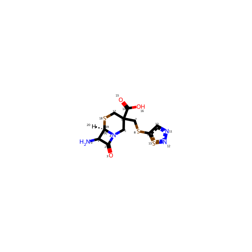 NC1C(=O)N2CC(CSc3cnns3)(C(=O)O)CS[C@H]12